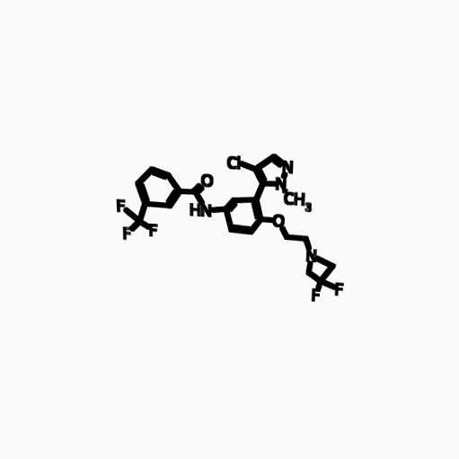 Cn1ncc(Cl)c1-c1cc(NC(=O)c2cccc(C(F)(F)F)c2)ccc1OCCN1CC(F)(F)C1